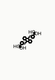 OB(O)c1ccc[n+](Cc2c3ccccc3c(C[n+]3cccc(B(O)O)c3)c3ccccc23)c1